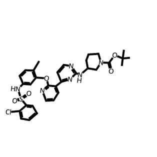 Cc1ccc(NS(=O)(=O)c2ccccc2Cl)cc1Oc1ncccc1-c1ccnc(NC2CCCN(C(=O)OC(C)(C)C)C2)n1